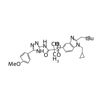 COc1ccc(-c2nnc(NC(=O)C(C)(C)S(=O)(=O)c3ccc4c(c3)nc(CC(C)(C)C)n4CC3CC3)[nH]2)cc1